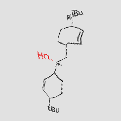 CC[C@@H](C)C1C=CC(C[C@@H](O)C2C=CC(C(C)(C)C)CC2)CC1